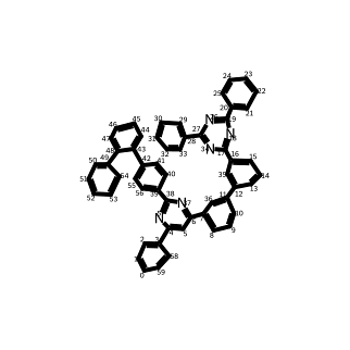 c1ccc(-c2cc(-c3cccc(-c4cccc(-c5nc(-c6ccccc6)nc(-c6ccccc6)n5)c4)c3)nc(-c3ccc(-c4ccccc4-c4ccccc4)cc3)n2)cc1